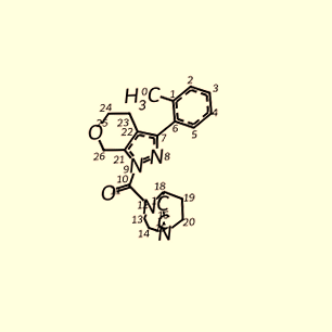 Cc1ccccc1-c1nn(C(=O)N2CCN3CCC2CC3)c2c1CCOC2